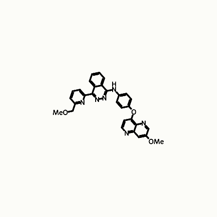 COCc1cccc(-c2nnc(Nc3ccc(Oc4ccnc5cc(OC)cnc45)cc3)c3ccccc23)n1